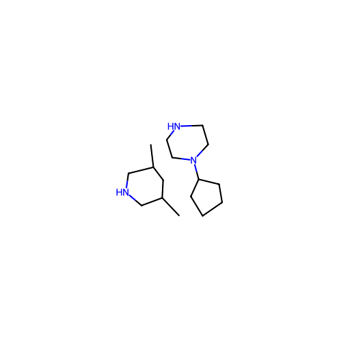 C1CCC(N2CCNCC2)C1.CC1CNCC(C)C1